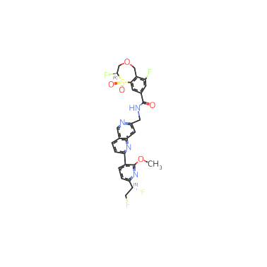 COc1nc([C@H](F)CF)ccc1-c1ccc2cnc(CNC(=O)c3cc(F)c4c(c3)S(=O)(=O)[C@@H](F)COC4)cc2n1